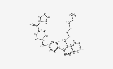 CCOCCCOc1c(-c2ccc(OC3CCN(C(=O)[C@H]4CCCO4)CC3)cc2)ccc2cccnc12